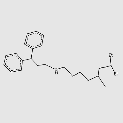 CCC(CC)CC(C)CCCCNCCC(c1ccccc1)c1ccccc1